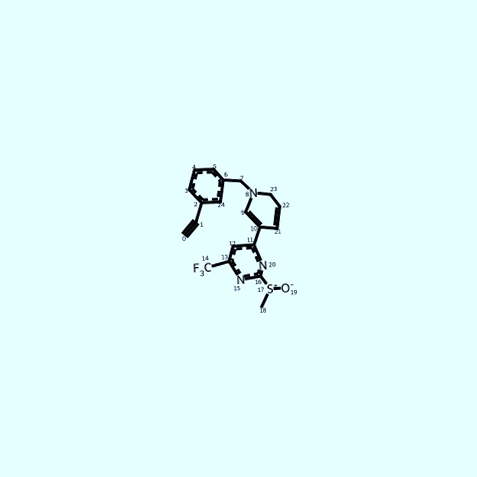 C#Cc1cccc(CN2C=C(c3cc(C(F)(F)F)nc([S+](C)[O-])n3)C=CC2)c1